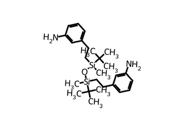 CC(C)(C)[Si](C)(CCc1cccc(N)c1)O[Si](C)(CCc1cccc(N)c1)C(C)(C)C